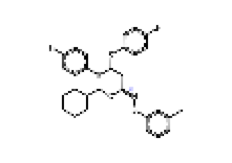 Cc1cccc(S/N=C(/CC(Sc2ccc(F)cc2)Sc2ccc(F)cc2)OCC2CCCCC2)c1